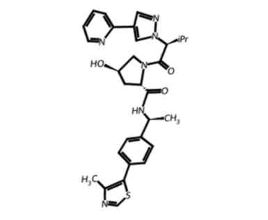 Cc1ncsc1-c1ccc([C@H](C)NC(=O)[C@@H]2C[C@@H](O)CN2C(=O)[C@H](C(C)C)n2cc(-c3ccccn3)cn2)cc1